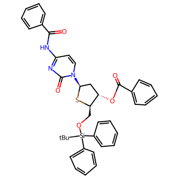 CC(C)(C)[Si](OC[C@H]1S[C@@H](n2ccc(NC(=O)c3ccccc3)nc2=O)C[C@@H]1OC(=O)c1ccccc1)(c1ccccc1)c1ccccc1